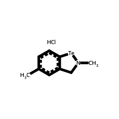 Cc1ccc2c(c1)CN(C)[Te]2.Cl